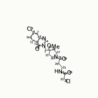 COC1(Cn2cnc3cc(Cl)ccc3c2=O)CCN(C(=O)CCNC(=O)CCl)CC1